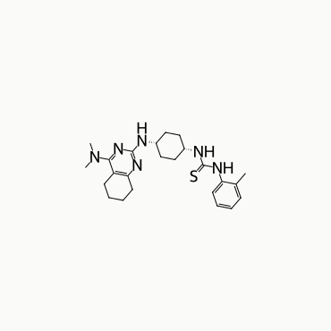 Cc1ccccc1NC(=S)N[C@H]1CC[C@@H](Nc2nc3c(c(N(C)C)n2)CCCC3)CC1